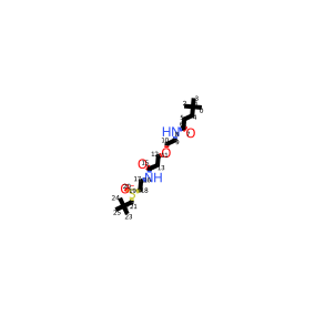 CC(C)(C)CCC(=O)NCCOCCC(=O)NCC[S+]([O-])CC(C)(C)C